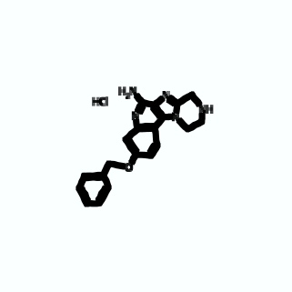 Cl.Nc1nc2cc(OCc3ccccc3)ccc2c2c1nc1n2CCNC1